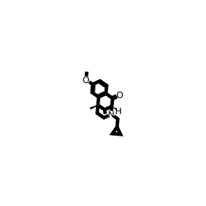 COc1ccc2c(c1)[C@@]1(C)CCN(CC3CC3)[C@H](C2=O)C1C